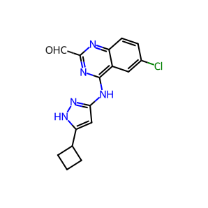 O=Cc1nc(Nc2cc(C3CCC3)[nH]n2)c2cc(Cl)ccc2n1